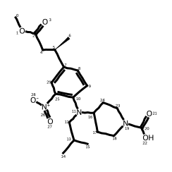 COC(=O)C[C@@H](C)c1ccc(N(CC(C)C)C2CCN(C(=O)O)CC2)c([N+](=O)[O-])c1